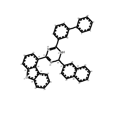 c1ccc(-c2cccc(C3=NC(c4cccc5oc6ccccc6c45)=NC(c4ccc5ccccc5c4)N3)c2)cc1